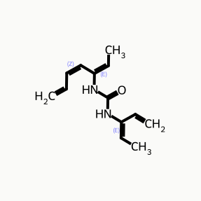 C=C/C=C\C(=C/C)NC(=O)N/C(C=C)=C/C